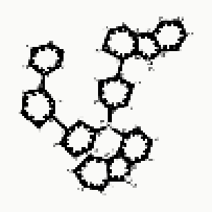 c1ccc(-c2cccc(-c3cccc(N(c4ccc(-c5cccc6c5sc5ccccc56)cc4)c4cccc5oc6ccccc6c45)c3)c2)cc1